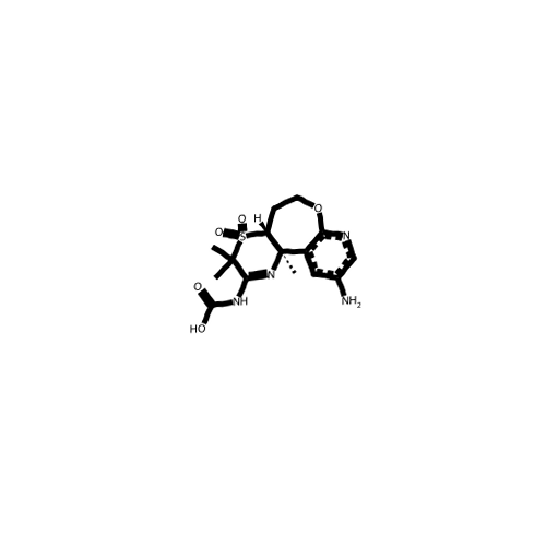 CC1(C)C(NC(=O)O)=N[C@]2(C)c3cc(N)cnc3OCC[C@H]2S1(=O)=O